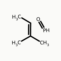 CC=C(C)C.O=P